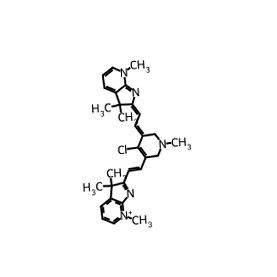 CN1CC(/C=C/C2=Nc3c(ccc[n+]3C)C2(C)C)=C(Cl)C(=C/C=C2/N=C3C(=CC=CN3C)C2(C)C)/C1